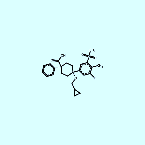 Cc1c(F)cc([C@]2(OCC3CC3)CC[C@@](C(=O)O)(c3ccccc3)CC2)cc1S(C)(=O)=O